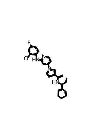 C=C(NC(CC)C1=CCCC=C1)c1ccn(-c2ccnc(Nc3ccc(F)cc3Cl)c2)c1